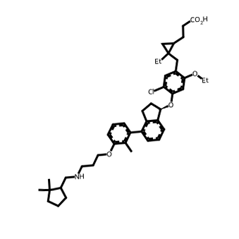 CCOc1cc(O[C@@H]2CCc3c(-c4cccc(OCCCNCC5CCCC5(C)C)c4C)cccc32)c(Cl)cc1CC1(CC)CC1CCC(=O)O